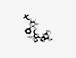 COc1nc(N)nc2c1ncn2C1OC(COP(N[C@@H](C)C(=O)OCC(C)(C)C)Oc2ccccc2)[C@@H](O)[C@]12CCO2